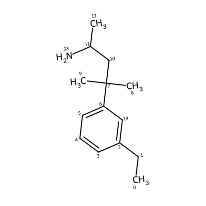 CCc1cccc(C(C)(C)CC(C)N)c1